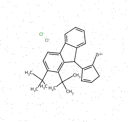 CC(C)(C)c1ccc2c(c1C(C)(C)C)C(C1=[C]([Zr+2])CC=C1)c1ccccc1-2.[Cl-].[Cl-]